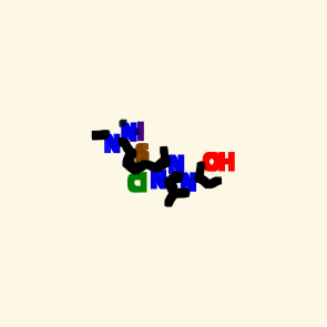 C=C/N=C(/c1cc(Cl)c(-c2nc3c(C)cn(C(CC)CO)c3nc2C)s1)N(C)I